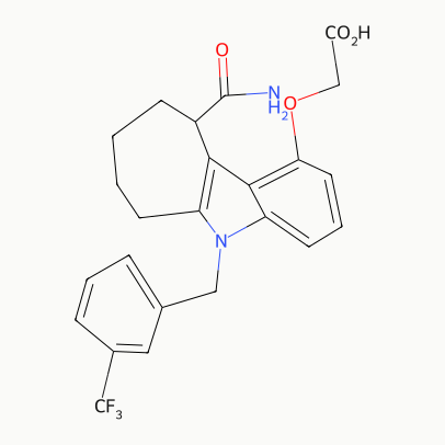 NC(=O)C1CCCCc2c1c1c(OCC(=O)O)cccc1n2Cc1cccc(C(F)(F)F)c1